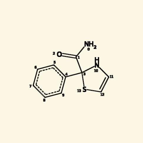 NC(=O)C1(c2ccccc2)NC=CS1